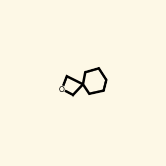 [CH]1OCC12CCCCC2